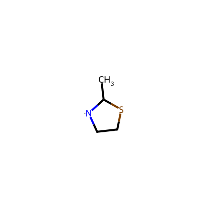 CC1[N]CCS1